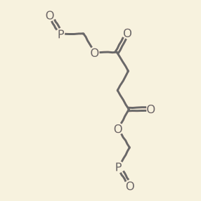 O=PCOC(=O)CCC(=O)OCP=O